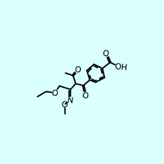 CCOCC(=NOC)C(C(C)=O)C(=O)c1ccc(C(=O)O)cc1